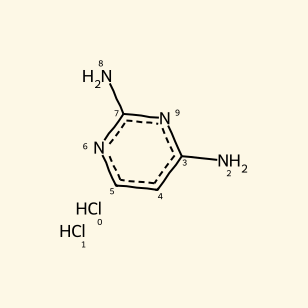 Cl.Cl.Nc1ccnc(N)n1